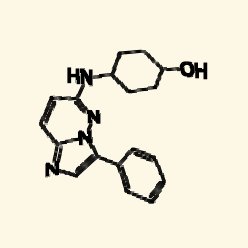 OC1CCC(Nc2ccc3ncc(-c4ccccc4)n3n2)CC1